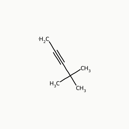 [CH2]C#CC(C)(C)C